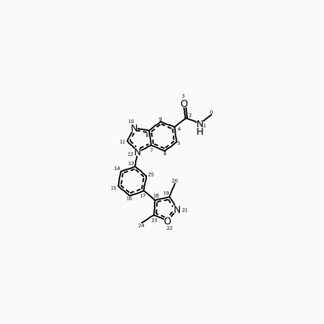 CNC(=O)c1ccc2c(c1)ncn2-c1cccc(-c2c(C)noc2C)c1